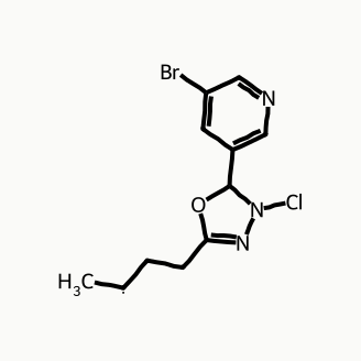 C[CH]CCC1=NN(Cl)C(c2cncc(Br)c2)O1